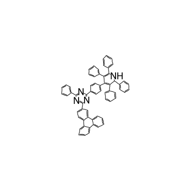 c1ccc(C2=C(c3ccccc3)C(c3ccc(-c4nc(-c5ccccc5)nc(-c5ccc6c7ccccc7c7ccccc7c6c5)n4)cc3)=C(c3ccccc3)C(c3ccccc3)N2)cc1